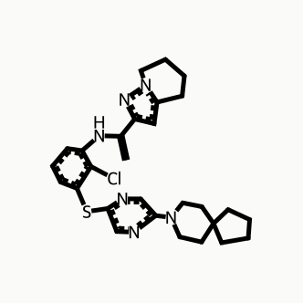 C=C(Nc1cccc(Sc2cnc(N3CCC4(CCCC4)CC3)cn2)c1Cl)c1cc2n(n1)CCCC2